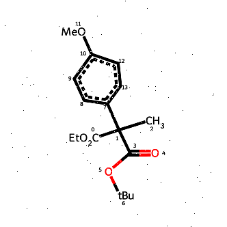 CCOC(=O)C(C)(C(=O)OC(C)(C)C)c1ccc(OC)cc1